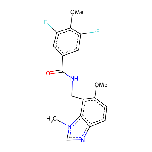 COc1ccc2ncn(C)c2c1CNC(=O)c1cc(F)c(OC)c(F)c1